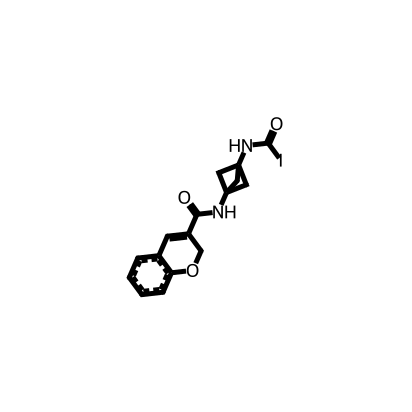 O=C(I)NC12CC(NC(=O)C3=Cc4ccccc4OC3)(C1)C2